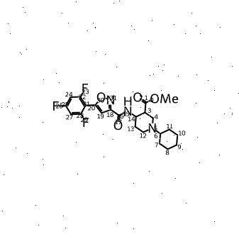 COC(=O)C1CN(C2CCCCC2)CCC1NC(=O)c1cc(-c2c(F)cc(F)cc2F)on1